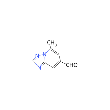 Cc1cc(C=O)cc2ncnn12